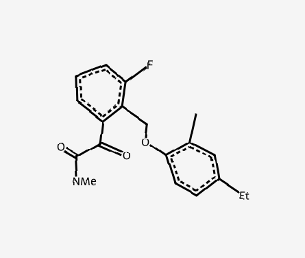 CCc1ccc(OCc2c(F)cccc2C(=O)C(=O)NC)c(C)c1